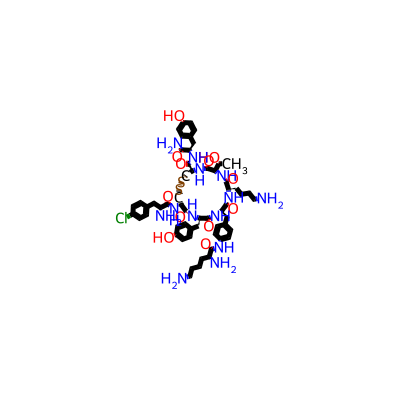 CC(O)C1NC(=O)[C@H](CCCCN)NC(=O)[C@@H](Cc2ccc(NC(=O)[C@@H](N)CCCCN)cc2)NC(=O)[C@H](Cc2ccc(O)cc2)NC(=O)[C@H](NC(=O)[C@@H](N)Cc2ccc(Cl)cc2)CSSC[C@@H](C(=O)N[C@H](Cc2ccc(O)cc2)C(N)=O)NC1=O